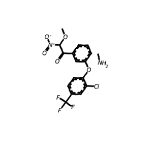 CN.COC(C(=O)c1cccc(Oc2ccc(C(F)(F)F)cc2Cl)c1)[N+](=O)[O-]